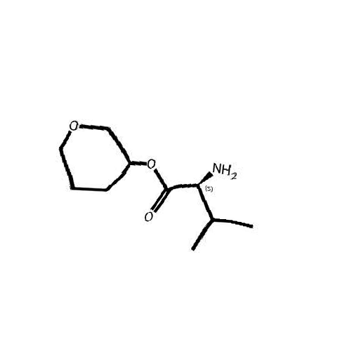 CC(C)[C@H](N)C(=O)OC1CCCOC1